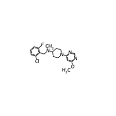 COc1cc(N2CCC(N(C)Cc3c(F)cccc3Cl)CC2)ncn1